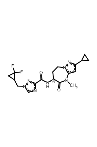 CN1C(=O)[C@@H](NC(=O)c2ncn(CC3CC3(F)F)n2)CCn2nc(C3CC3)cc21